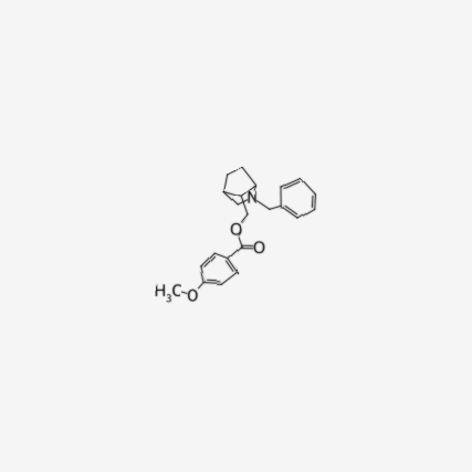 COc1ccc(C(=O)OCC2C3CCC2N(Cc2ccccc2)C3)cc1